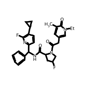 CCn1cc(CC(=O)N2CC(F)CC2C(=O)NC(c2ccccc2)c2ccc(C3CC3)c(F)n2)cc(C)c1=O